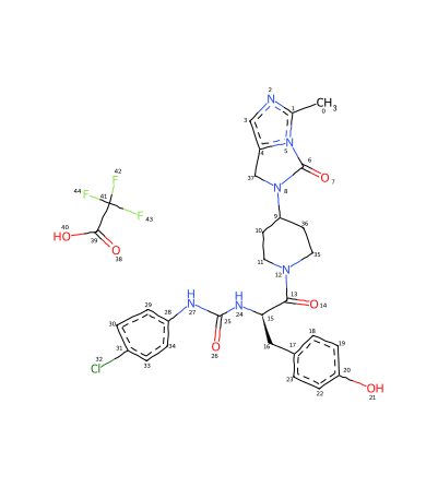 Cc1ncc2n1C(=O)N(C1CCN(C(=O)[C@@H](Cc3ccc(O)cc3)NC(=O)Nc3ccc(Cl)cc3)CC1)C2.O=C(O)C(F)(F)F